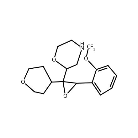 FC(F)(F)Oc1ccccc1C1OC1(C1CCOCC1)C1CNCCO1